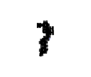 N#Cc1cccc(NC(=O)NC/C=C\CN2CCCC(Cc3ccc(F)cc3)C2)c1